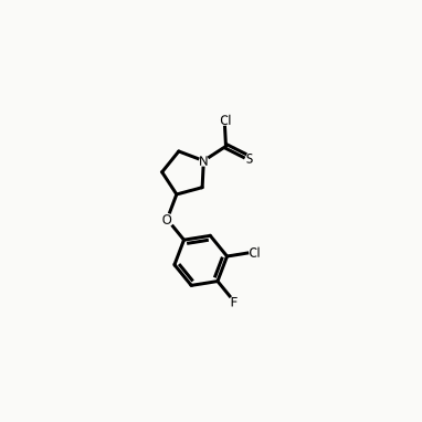 Fc1ccc(OC2CCN(C(=S)Cl)C2)cc1Cl